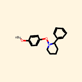 CCCCOc1ccc(ON2CCCCC2c2cc[c]cc2)cc1